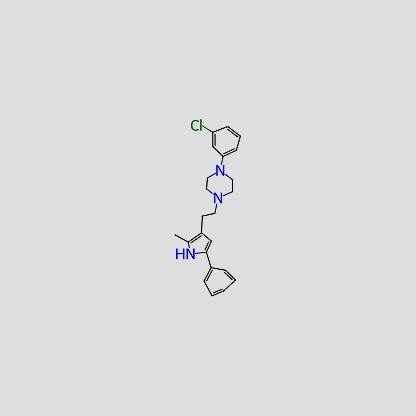 Cc1[nH]c(-c2ccccc2)cc1CCN1CCN(c2cccc(Cl)c2)CC1